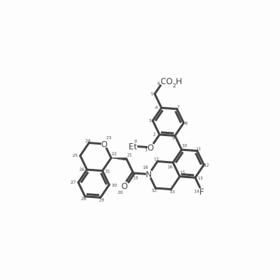 CCOc1cc(CC(=O)O)ccc1-c1ccc(F)c2c1CN(C(=O)C[C@@H]1OCCc3ccccc31)CC2